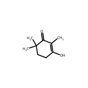 CC1=C(O)CCC(C)(C)C1=O